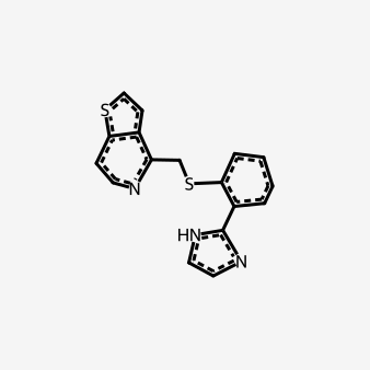 c1ccc(-c2ncc[nH]2)c(SCc2nccc3sccc23)c1